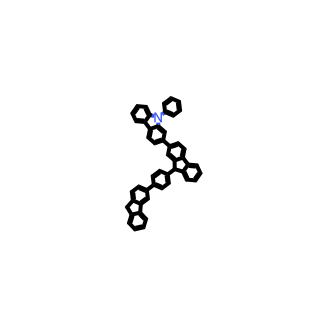 c1ccc(-n2c3ccccc3c3ccc(-c4ccc5c(c4)C(c4ccc(-c6ccc7c(c6)-c6ccccc6C7)cc4)c4ccccc4-5)cc32)cc1